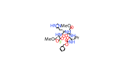 COC(=O)CC[C@H](NC(=O)[C@H](CC(C)C)NC(=O)OCc1ccccc1)C(=O)N[C@@H](CCc1c[nH]cn1)C(=O)N[C@@H](CC(=O)OC)C(=O)CF